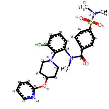 CN(C(=O)c1ccc(S(=O)(=O)N(C)C)cc1)c1cccc(F)c1N1CCC(Oc2ccccn2)CC1